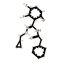 O=C(Cc1ccccc1)N/C(=N\OCC1CC1)c1c(F)ccc(F)c1F